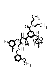 CCCN(CCC)C(=O)c1cc(NS(=O)(=O)C(F)(F)F)cc(C(=O)N[C@@H](Cc2cc(F)cc(F)c2)[C@H](O)CNCc2cccc(OC)c2)c1